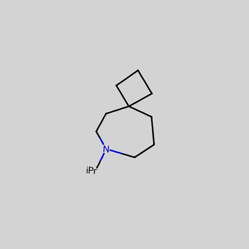 CC(C)N1CCCC2(CCC2)CC1